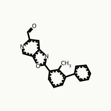 Cc1c(-c2ccccc2)cccc1-c1nc2cc(C=O)ncc2o1